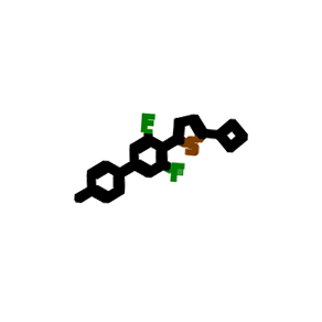 Cc1ccc(-c2cc(F)c(-c3ccc(C4CCC4)s3)c(F)c2)cc1